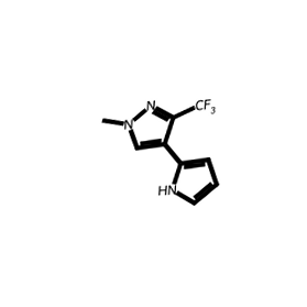 Cn1cc(-c2ccc[nH]2)c(C(F)(F)F)n1